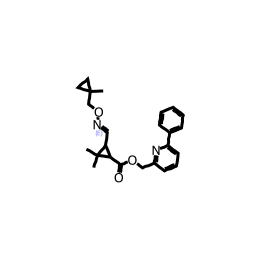 CC1(CO/N=C/C2C(C(=O)OCc3cccc(-c4ccccc4)n3)C2(C)C)CC1